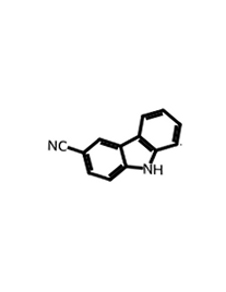 N#Cc1ccc2[nH]c3[c]cccc3c2c1